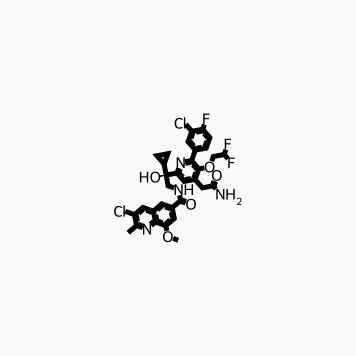 COc1cc(C(=O)NC[C@](O)(c2cc(CC(N)=O)c(OCC(F)F)c(-c3ccc(F)c(Cl)c3)n2)C2CC2)cc2cc(Cl)c(C)nc12